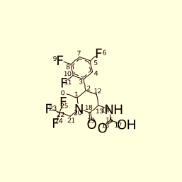 CC1C(c2cc(F)cc(F)c2F)CC(NC(=O)O)C(=O)N1CC(F)(F)F